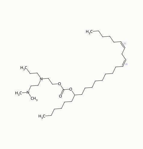 CCCCC/C=C\C/C=C\CCCCCCCCC(CCCCCC)OC(=O)OCCN(CCC)CCN(C)C